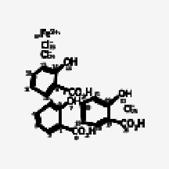 O=C(O)c1ccccc1O.O=C(O)c1ccccc1O.O=C(O)c1ccccc1O.[Cl-].[Cl-].[Cl-].[Fe+3]